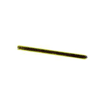 S=S=S=S=S=S=S=S=S=S=S=S=S=S=S=S=S=S=S=S=S=S=S=S=S=S=S=S=S=S=S=S=S=S=S=S=S=S=S=S=S=S=S=S=S=S=S=S=S=S=S=S=S=S=S=S=S=S=S=S=S=S=S=S=S=S=S=S=S=S=S=S=S=S=S=S=S=S=S=S=S=S=S=S=S=S=S=S=S=S=S=S=S=S=S=S=S=S=S=S=S=S=S=S=S=S=S=S=S=S=S=S=S=S=S=S=S=S=S=S=S=S=S=S=S=S=S=S=S=S=S=S=S=S=S=S